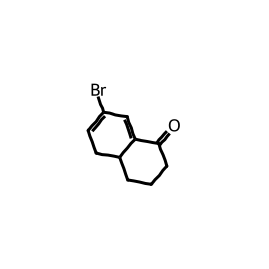 O=C1CCCC2CC=C(Br)C=C12